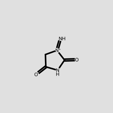 N=[N+]1CC(=O)NC1=O